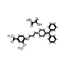 COc1cc(C(C)=O)ccc1OCCCN1CCC(C(c2ccccc2)c2ccccc2)CC1.O=C(O)C(=O)O